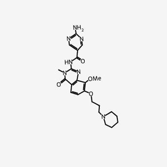 COc1c(OCCCN2CCCCC2)ccc2c(=O)n(C)c(NC(=O)c3cnc(N)nc3)nc12